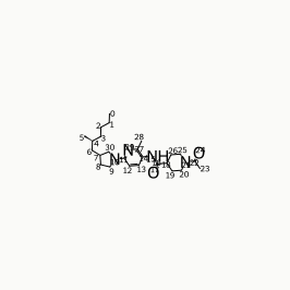 CCCC[C@H](C)CC1CCN(c2ccc(NC(=O)C3CCN(C(C)=O)CC3)c(C)n2)C1